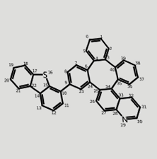 c1ccc2c(c1)-c1ccc(-c3cccc4c3sc3ccccc34)cc1-c1ccc3ncccc3c1-c1ccccc1-2